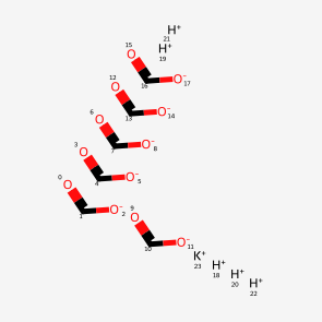 O=C[O-].O=C[O-].O=C[O-].O=C[O-].O=C[O-].O=C[O-].[H+].[H+].[H+].[H+].[H+].[K+]